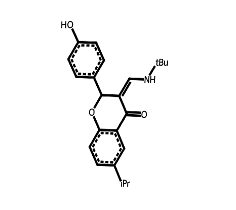 CC(C)c1ccc2c(c1)C(=O)/C(=C\NC(C)(C)C)C(c1ccc(O)cc1)O2